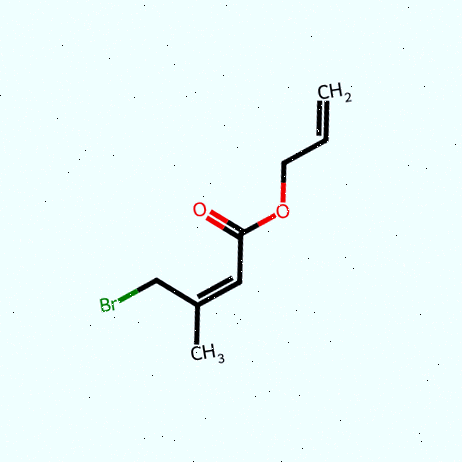 C=CCOC(=O)/C=C(/C)CBr